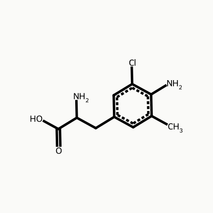 Cc1cc(CC(N)C(=O)O)cc(Cl)c1N